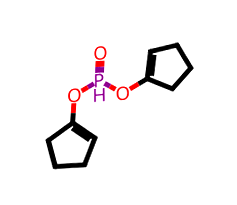 O=[PH](OC1=CCCC1)OC1=CCCC1